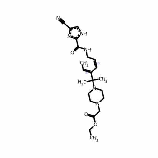 C/C=C(\C=C/CNC(=O)c1nc(C#N)c[nH]1)C(C)(C)N1CCN(CC(=O)OCC)CC1